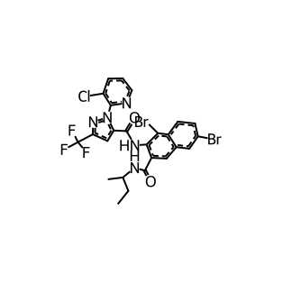 CCC(C)NC(=O)c1cc2cc(Br)ccc2c(Br)c1NC(=O)c1cc(C(F)(F)F)nn1-c1ncccc1Cl